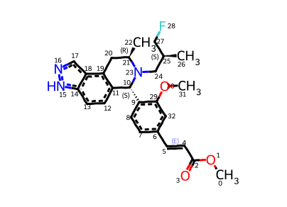 COC(=O)/C=C/c1ccc([C@@H]2c3ccc4[nH]ncc4c3C[C@@H](C)N2C[C@H](C)CF)c(OC)c1